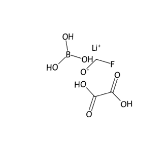 O=C(O)C(=O)O.OB(O)O.[Li+].[O-]CF